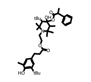 Cc1cc(CCC(=O)OCCN2C(C)(C)C(C)C(O)(OC(=O)C(C)c3ccccc3)C(C(C)(C)C)C2(C)C)cc(C(C)(C)C)c1O